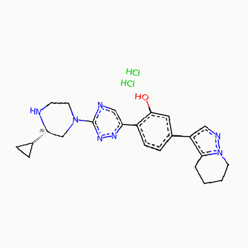 Cl.Cl.Oc1cc(-c2cnn3c2CCCC3)ccc1-c1cnc(N2CCN[C@@H](C3CC3)C2)nn1